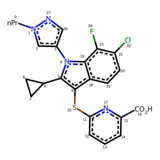 CCCn1cc(-n2c(C3CC3)c(Sc3cccc(C(=O)O)n3)c3ccc(Cl)c(F)c32)cn1